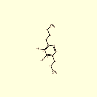 CCCCc1ccc(CCC)c(F)c1F